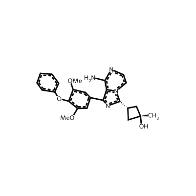 COc1cc(-c2nc([C@H]3C[C@@](C)(O)C3)n3ccnc(N)c23)cc(OC)c1Oc1ccccc1